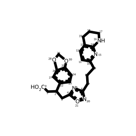 O=C(O)CC(Cc1nc(CCCc2ccc3c(n2)NCCC3)no1)c1ccc2c(c1)OCO2